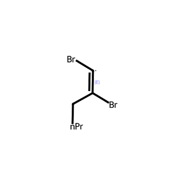 CCCC/C(Br)=[C]\Br